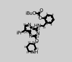 CC(C)COC(=O)Oc1ccccc1CNc1nc(O[C@@H]2CCCNC2)nc2c(C(C)C)cnn12